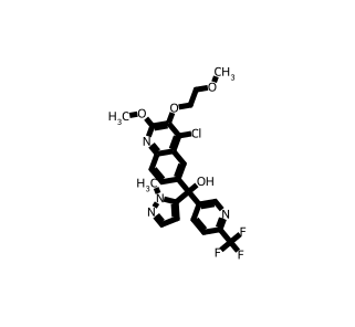 COCCOc1c(OC)nc2ccc(C(O)(c3ccc(C(F)(F)F)nc3)c3ccnn3C)cc2c1Cl